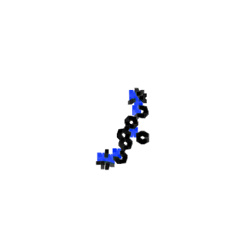 CC1=NC(C)(C)C(C)(C)N1c1cccc(-c2ccc3c(ccc4c5ccc(-c6cccc(N7C(C)=NC(C)(C)C7(C)C)n6)cc5n(-c5ccccc5)c34)c2)n1